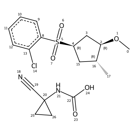 CO[C@@H]1C[C@H](S(=O)(=O)c2ccccc2Cl)C[C@H]1C.N#CC1(NC(=O)O)CC1